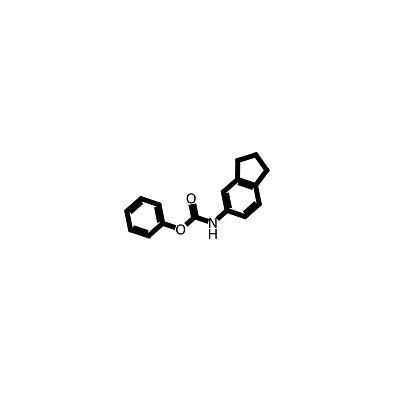 O=C(Nc1ccc2c(c1)CCC2)Oc1ccccc1